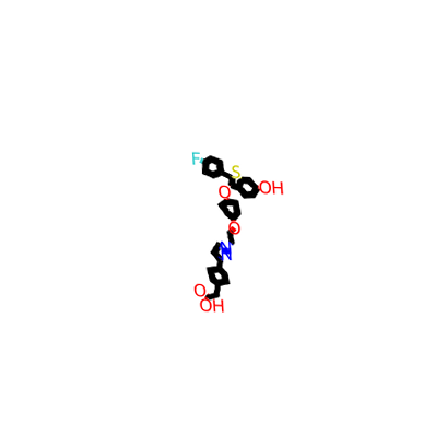 O=C(O)Cc1ccc(-c2ccn(CCOc3ccc(Oc4c(-c5ccc(F)cc5)sc5cc(O)ccc45)cc3)n2)cc1